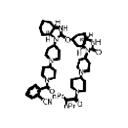 CCCC(CCC)C(=O)N1CCC(N2CCC(N3C(=O)N[C@H]4CCCC[C@@H]43)CC2)CC1.N#Cc1ccccc1C(=O)N1CCC(N2CCC(N3C(=O)N[C@H]4CCCC[C@@H]43)CC2)CC1